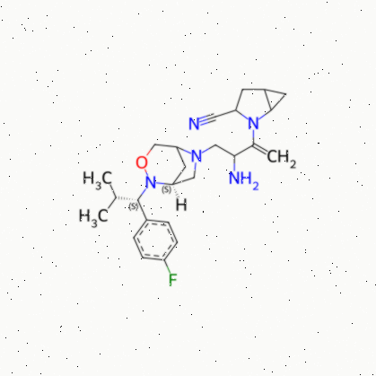 C=C(C(N)CN1C[C@@H]2CC1CON2[C@H](c1ccc(F)cc1)C(C)C)N1C(C#N)CC2CC21